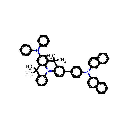 CC1(C)c2ccccc2N2c3ccc(-c4ccc(N(c5ccc6ccccc6c5)c5ccc6ccccc6c5)cc4)cc3C(C)(C)c3cc(N(c4ccccc4)c4ccccc4)cc1c32